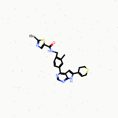 Cc1cc(-c2ncnc3[nH]c(C4=CCSCC4)cc23)ccc1CNC(=O)c1cnc(C(C)(C)C)s1